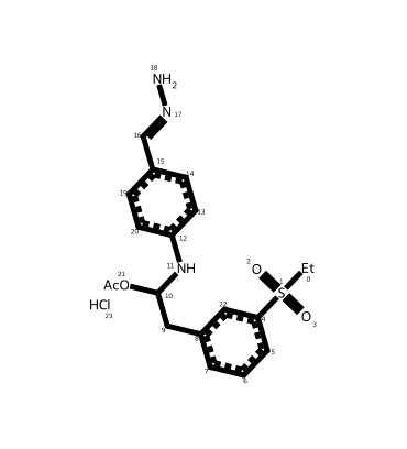 CCS(=O)(=O)c1cccc(CC(Nc2ccc(C=NN)cc2)OC(C)=O)c1.Cl